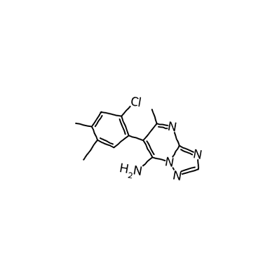 Cc1cc(Cl)c(-c2c(C)nc3ncnn3c2N)cc1C